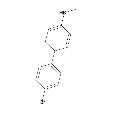 CBc1ccc(-c2ccc(Br)cc2)cc1